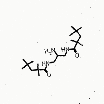 CC(C)(C)CC(C)(C)C(=O)NCC(N)CNC(=O)C(C)(C)CC(C)(C)C